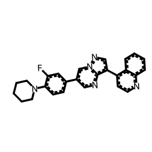 Fc1cc(-c2cnc3c(-c4ccnc5ccccc45)cnn3c2)ccc1N1CCCCC1